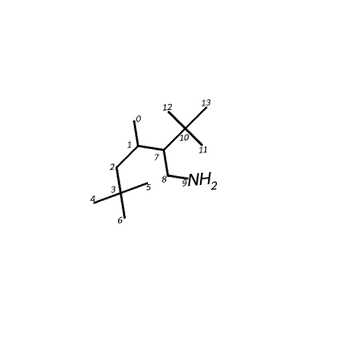 CC(CC(C)(C)C)C(CN)C(C)(C)C